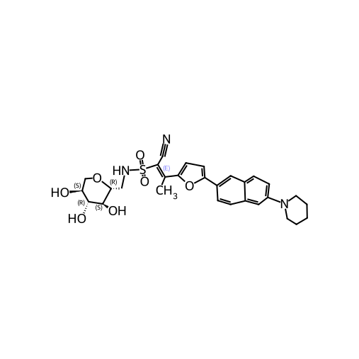 C/C(=C(/C#N)S(=O)(=O)NC[C@H]1OC[C@H](O)[C@@H](O)[C@@H]1O)c1ccc(-c2ccc3cc(N4CCCCC4)ccc3c2)o1